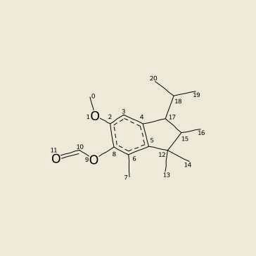 COc1cc2c(c(C)c1OC=O)C(C)(C)C(C)C2C(C)C